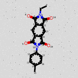 CCn1c(=O)c2cc3c(=O)n(-c4ccc(C)cc4)c(=O)c3cc2c1=O